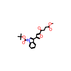 COC(=O)CCC(=O)c1cc(-c2cn(C(=O)OC(C)(C)C)c3ccccc23)co1